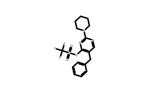 O=S(=O)(Oc1nc(N2CCCCC2)ncc1Cc1ccccc1)C(F)(F)F